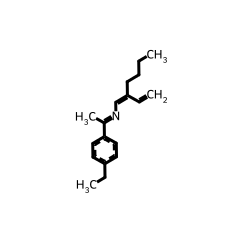 C=C/C(=C\N=C(/C)c1ccc(CC)cc1)CCCC